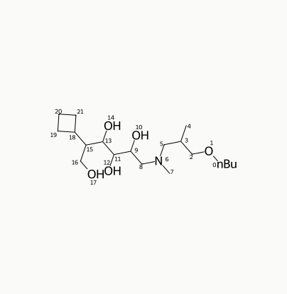 CCCCOCC(C)CN(C)CC(O)C(O)C(O)C(CO)C1CCC1